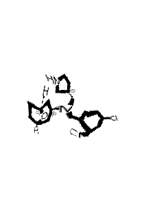 Clc1ccc(CN(C[C@H]2CCNC2)[C@H]2C[C@H]3CC[C@@H](C2)O3)c(Cl)c1